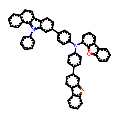 c1ccc(-n2c3cc(-c4ccc(N(c5ccc(-c6ccc7c(c6)sc6ccccc67)cc5)c5cccc6c5oc5ccccc56)cc4)ccc3c3ccc4ccccc4c32)cc1